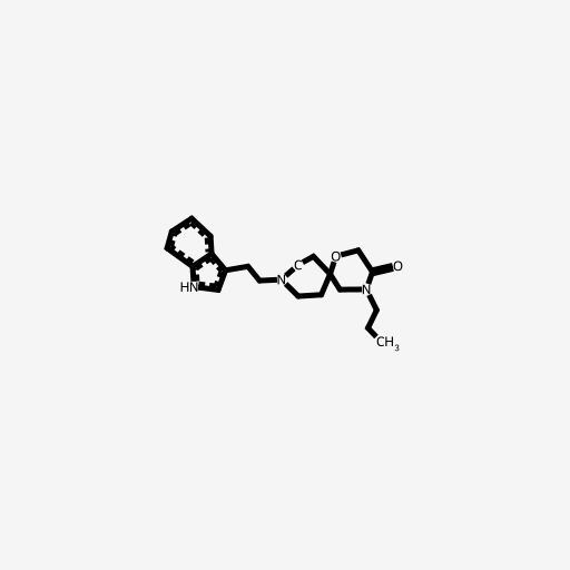 CCCN1CC2(CCN(CCc3c[nH]c4ccccc34)CC2)OCC1=O